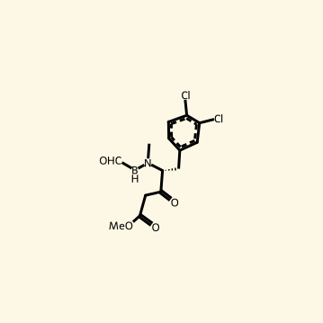 COC(=O)CC(=O)[C@@H](Cc1ccc(Cl)c(Cl)c1)N(C)BC=O